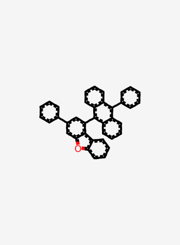 c1ccc(-c2cc(-c3c4ccccc4c(-c4ccccc4)c4ccccc34)c3c(c2)oc2ccccc23)cc1